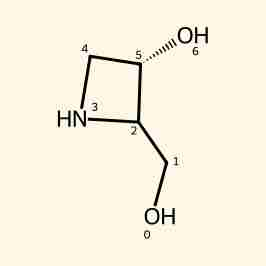 OCC1NC[C@@H]1O